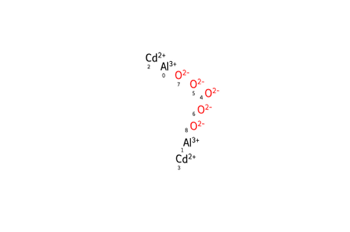 [Al+3].[Al+3].[Cd+2].[Cd+2].[O-2].[O-2].[O-2].[O-2].[O-2]